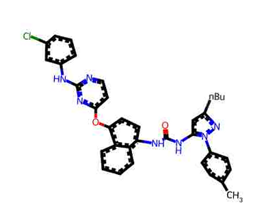 CCCCc1cc(NC(=O)Nc2ccc(Oc3ccnc(Nc4cccc(Cl)c4)n3)c3ccccc23)n(-c2ccc(C)cc2)n1